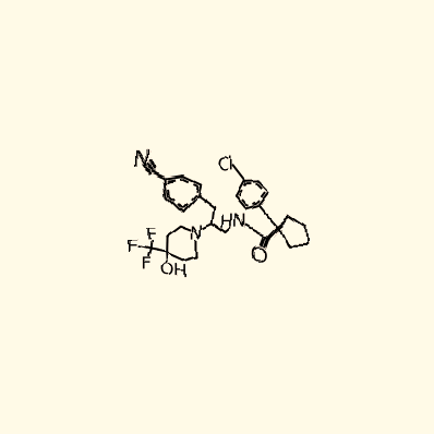 N#Cc1ccc(CC(CNC(=O)C2(c3ccc(Cl)cc3)CCCC2)N2CCC(O)(C(F)(F)F)CC2)cc1